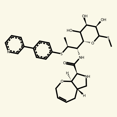 CSC1O[C@H]([C@H](NC(=O)[C@H]2NC[C@@H]3CC=CCO[C@H]32)[C@H](C)Sc2ccc(-c3cccnc3)cc2)C(O)[C@@H](O)[C@H]1O